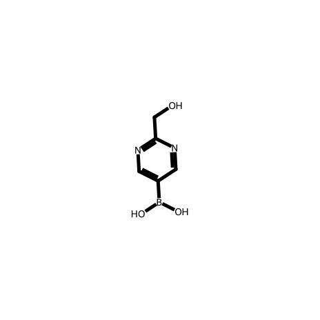 OCc1ncc(B(O)O)cn1